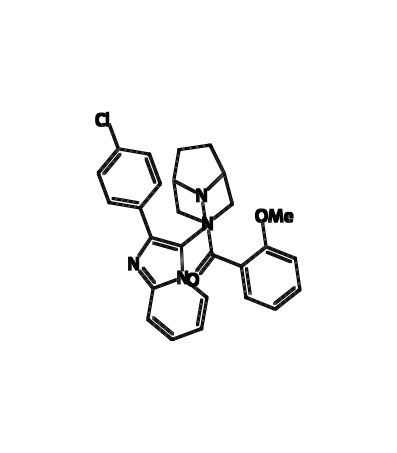 COc1ccccc1C(=O)N1CC2CCC(C1)N2Cc1c(-c2ccc(Cl)cc2)nc2ccccn12